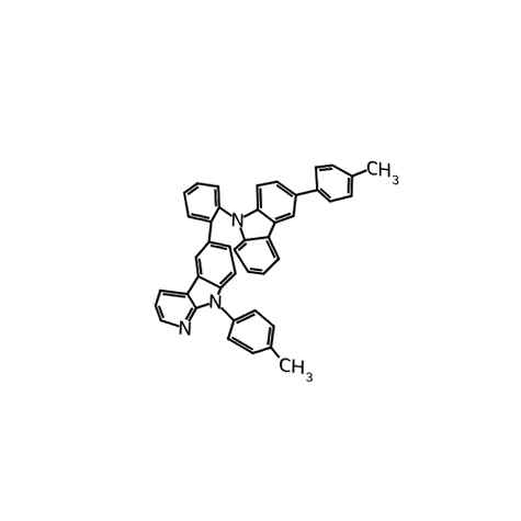 Cc1ccc(-c2ccc3c(c2)c2ccccc2n3-c2ccccc2-c2ccc3c(c2)c2cccnc2n3-c2ccc(C)cc2)cc1